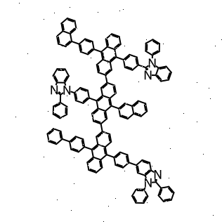 c1ccc(-c2ccc(-c3c4ccccc4c(-c4ccc(-c5ccc6nc(-c7ccccc7)n(-c7ccccc7)c6c5)cc4)c4ccc(-c5ccc6c(-c7ccc(-n8c(-c9ccccc9)nc9ccccc98)cc7)c7cc(-c8ccc9c(-c%10ccc(-c%11cccc%12ccccc%11%12)cc%10)c%10ccccc%10c(-c%10ccc(-c%11nc%12ccccc%12n%11-c%11ccccc%11)cc%10)c9c8)ccc7c(-c7ccc8ccccc8c7)c6c5)cc34)cc2)cc1